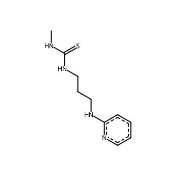 CNC(=S)NCCCNc1ccccn1